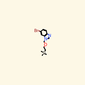 C[Si](C)(C)CCOCn1cnc2ccc(Br)cc21